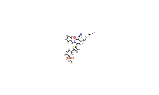 CCCCCCC(F)(F)c1cc(-c2ccc(-c3cccc(S(=O)(=O)CC)c3)s2)n(Cc2ccc(F)cc2F)c(=O)c1C#N